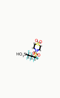 O=S1(=O)CCN(S(=O)(=O)C(F)(F)C(F)(F)C(F)(F)S(=O)(=O)O)CC1